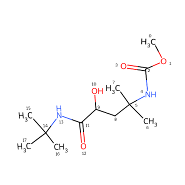 COC(=O)NC(C)(C)CC(O)C(=O)NC(C)(C)C